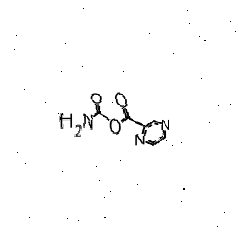 NC(=O)OC(=O)c1cnccn1